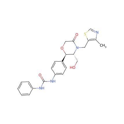 Cc1ncsc1CN1C(=O)CO[C@H](c2ccc(NC(=O)Nc3ccccc3)cc2)[C@H]1CO